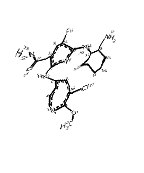 COc1ncc(Nc2nc(NC3CCCCC3N)c(F)cc2C(N)=O)cc1Cl